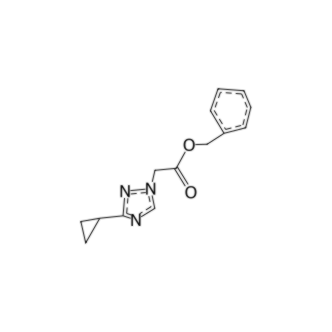 O=C(Cn1cnc(C2CC2)n1)OCc1ccccc1